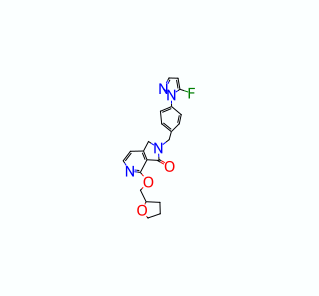 O=C1c2c(ccnc2OCC2CCCO2)CN1Cc1ccc(-n2nccc2F)cc1